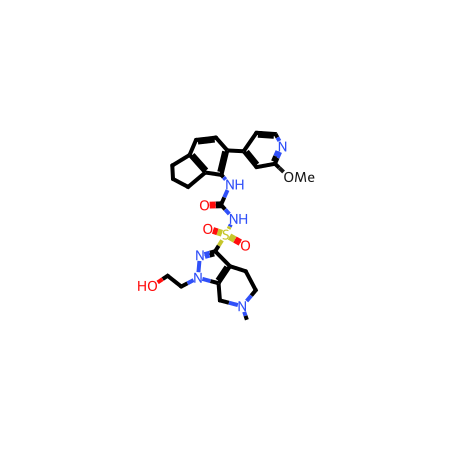 COc1cc(-c2ccc3c(c2NC(=O)NS(=O)(=O)c2nn(CCO)c4c2CCN(C)C4)CCC3)ccn1